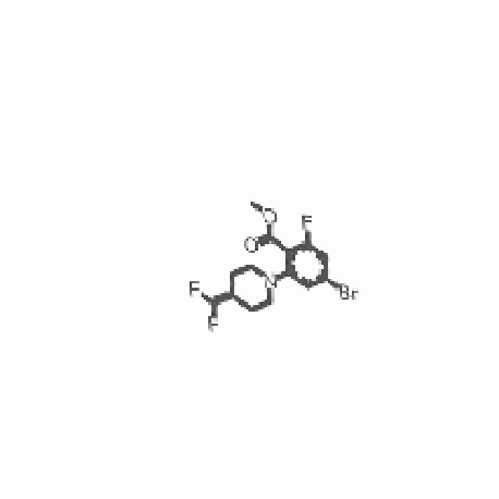 COC(=O)c1c(F)cc(Br)cc1N1CCC(=C(F)F)CC1